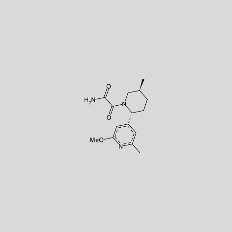 COc1cc([C@H]2CC[C@H](C)CN2C(=O)C(N)=O)cc(C)n1